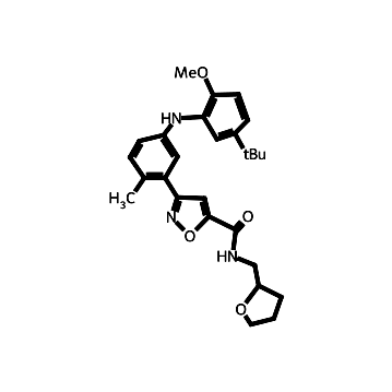 COc1ccc(C(C)(C)C)cc1Nc1ccc(C)c(-c2cc(C(=O)NCC3CCCO3)on2)c1